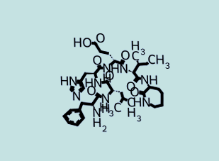 CC[C@H](C)[C@@H](NC(=O)[C@@H](CCC(=O)O)NC(=O)[C@H](Cc1cnc[nH]1)NC(=O)[C@H](CC(C)C)NC(=O)[C@H](N)Cc1ccccc1)C(=O)N[C@H]1CCCCNC1=O